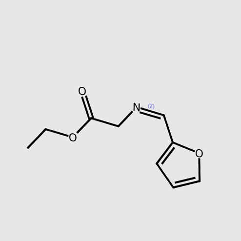 CCOC(=O)C/N=C\c1ccco1